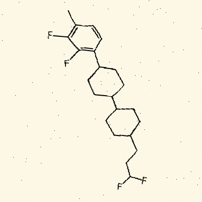 Cc1ccc(C2CCC(C3CCC(CCC(F)F)CC3)CC2)c(F)c1F